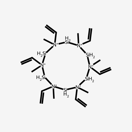 C=C[N+]1(C)[SiH2][N+](C)(C=C)[SiH2][N+](C)(C=C)[SiH2][N+](C)(C=C)[SiH2][N+](C)(C=C)[SiH2][N+](C)(C=C)[SiH2]1